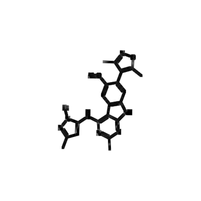 CCn1nc(C)cc1Nc1nc(C)nc2[nH]c3cc(-c4c(C)noc4C)c(OC)cc3c12